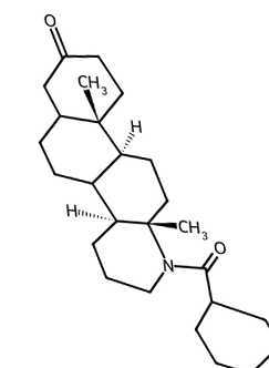 C[C@]12CCC(=O)CC1CCC1[C@@H]2CC[C@@]2(C)[C@H]1CCCN2C(=O)C1CCCCC1